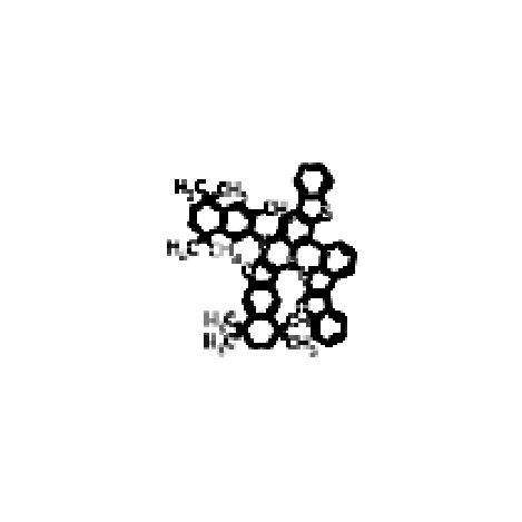 Cc1cc2c(cc1N1c3cc4c(sc5ccccc54)c4c3B(c3c1oc1cc5c(cc31)C(C)(C)CCC5(C)C)n1c3oc5ccccc5c3c3cccc-4c31)C(C)(C)CCC2(C)C